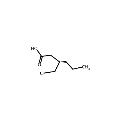 CCC[C@@H](CCl)CC(=O)O